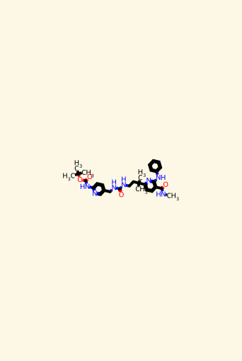 CNC(=O)c1ccc(C(C)(C)CCNC(=O)NCc2ccc(NC(=O)OC(C)(C)C)nc2)nc1Nc1ccccc1